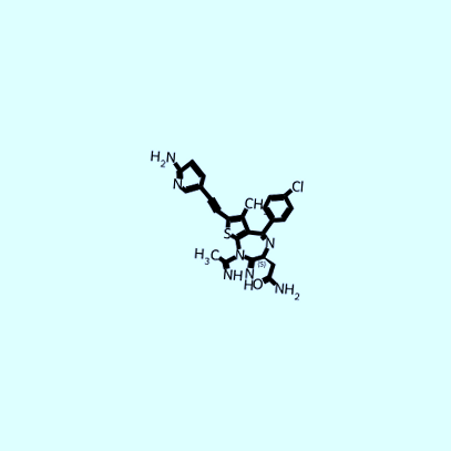 CC(=N)N1C(=N)[C@H](CC(N)=O)N=C(c2ccc(Cl)cc2)c2c1sc(C#Cc1ccc(N)nc1)c2C